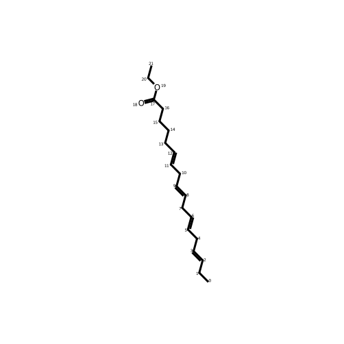 CCC=CCC=CCC=CCC=CCCCCC(=O)OCC